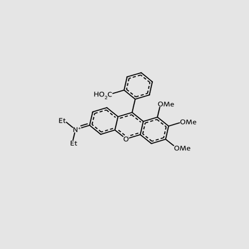 CC[N+](CC)=c1ccc2c(-c3ccccc3C(=O)O)c3c(OC)c(OC)c(OC)cc3oc-2c1